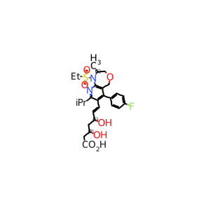 CCS(=O)(=O)N1c2nc(C(C)C)c(C=C[C@@H](O)C[C@@H](O)CC(=O)O)c(-c3ccc(F)cc3)c2COC[C@@H]1C